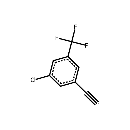 [C]#Cc1cc(Cl)cc(C(F)(F)F)c1